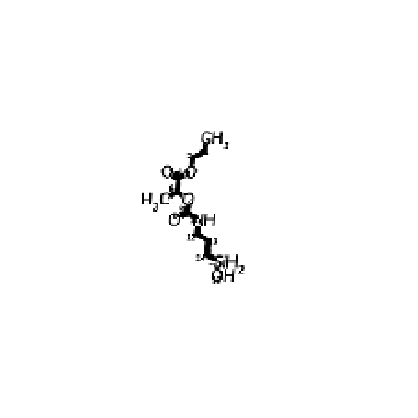 CCCOC(=O)C(C)OC(=O)NCCC[SiH2]O